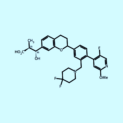 COc1cc(-c2ccc(C3CCc4ccc([C@H](O)[C@H](C)C(=O)O)cc4O3)cc2CN2CCC(F)(F)CC2)c(F)cn1